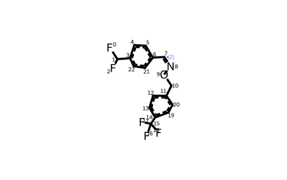 FC(F)c1ccc(/[C]=N\OCc2ccc(C(F)(F)F)cc2)cc1